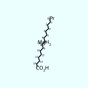 CC(C)CCCCCCCCCCCCCCC(=O)O.[MgH2]